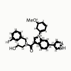 COC1C=CC=C(n2cc(C(=O)N(CCO)Cc3cccc(F)c3)c3ccc(-c4cn[nH]c4)cc32)C1